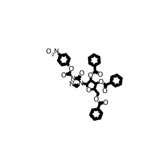 O=C(OCC1OC(n2cnn(C(=O)Oc3ccc([N+](=O)[O-])cc3)c2=O)C(OC(=O)c2ccccc2)C1OC(=O)c1ccccc1)c1ccccc1